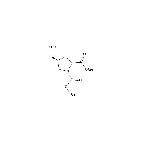 COC(=O)[C@@H]1C[C@H](OC=O)CN1C(=O)OC(C)(C)C